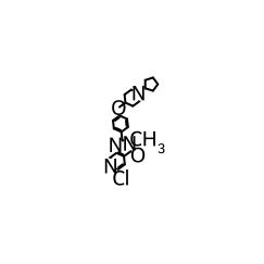 Cn1c(-c2ccc(OC3CCN(C4CCCC4)CC3)cc2)nc2cnc(Cl)cc2c1=O